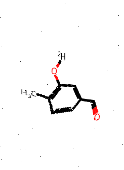 [2H]Oc1cc(C=O)ccc1C